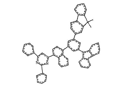 CC1(C)c2ccccc2-c2ccc(-c3cc(-c4ccc(-c5cc(-c6ccccc6)nc(-c6ccccc6)n5)c5ccccc45)cc(-n4c5ccccc5c5ccccc54)c3)cc21